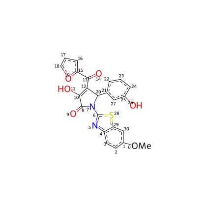 COc1ccc2nc(N3C(=O)C(O)=C(C(=O)c4ccco4)C3c3cccc(O)c3)sc2c1